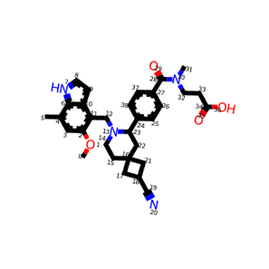 COc1cc(C)c2[nH]ccc2c1CN1CCC2(CC(C#N)C2)CC1c1ccc(C(=O)N(C)CCC(=O)O)cc1